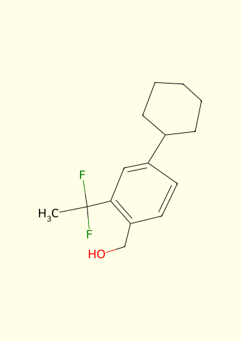 CC(F)(F)c1cc(C2CCCCC2)ccc1CO